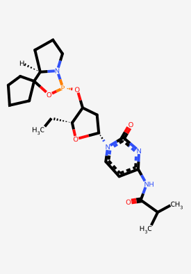 CC[C@H]1O[C@@H](n2ccc(NC(=O)C(C)C)nc2=O)CC1O[P@]1OC2(CCCC2)[C@H]2CCCN21